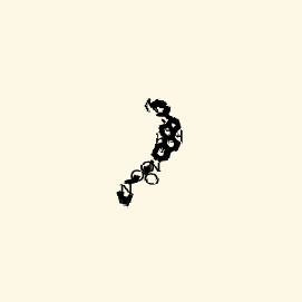 C[C@]12CCC(=NOC(=O)OCCN3CCCC3)C=C1CC[C@H]1[C@@H]2CC[C@]2(C)C(c3cccnc3)=CC[C@@H]12